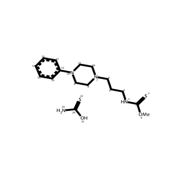 COC(=S)NCCCN1CCN(c2ccccc2)CC1.NC(O)=S